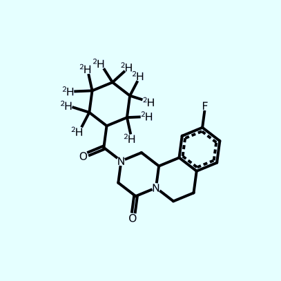 [2H]C1([2H])C(C(=O)N2CC(=O)N3CCc4ccc(F)cc4C3C2)C([2H])([2H])C([2H])([2H])C([2H])([2H])C1([2H])[2H]